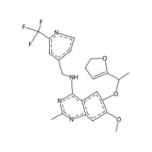 COc1cc2nc(C)nc(NCc3ccnc(C(F)(F)F)c3)c2cc1OC(C)C1=CCCO1